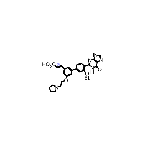 CCOc1cc(-c2cc(/C=C/C(=O)O)cc(OCCN3CCCC3)c2)ccc1-c1nc2[nH]cnc2c(=O)[nH]1